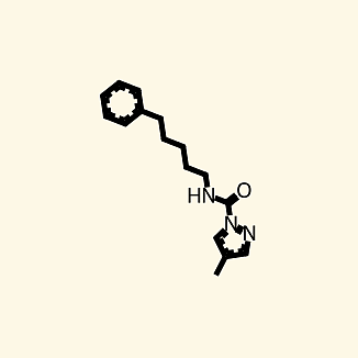 Cc1cnn(C(=O)NCCCCCc2ccccc2)c1